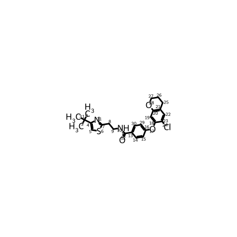 CC(C)(C)c1csc(CCNC(=O)c2ccc(Oc3cc4c(cc3Cl)CCCO4)cc2)n1